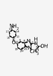 Cn1c(NC(=O)O)nc2cc(Oc3ccc(N)cc3)ccc21